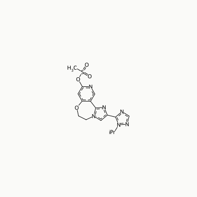 CC(C)n1ncnc1-c1cn2c(n1)-c1cnc(OS(C)(=O)=O)cc1OCC2